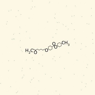 C=CC(=O)CCCCCOC1CCC(C(=O)OC2CCC(C)CC2)CC1